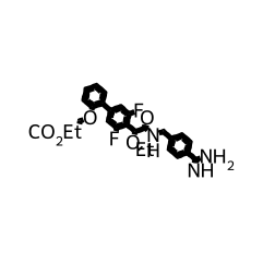 CCOC(=O)COc1ccccc1-c1cc(F)c(C(OCC)C(=O)NCc2ccc(C(=N)N)cc2)c(F)c1